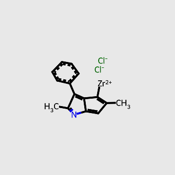 CC1=NC2=CC(C)=[C]([Zr+2])C2=C1c1ccccc1.[Cl-].[Cl-]